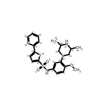 COc1ccc(NS(=O)(=O)c2ccc(-c3ccccn3)s2)cc1N1CC(C)NC(C)C1